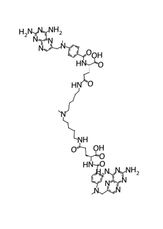 CN(CCCCCNC(=O)CC[C@H](NC(=O)c1ccc(N(C)Cc2cnc3nc(N)nc(N)c3n2)cc1)C(=O)O)CCCCCNC(=O)CC[C@H](NC(=O)c1ccc(N(C)Cc2cnc3nc(N)nc(N)c3n2)cc1)C(=O)O